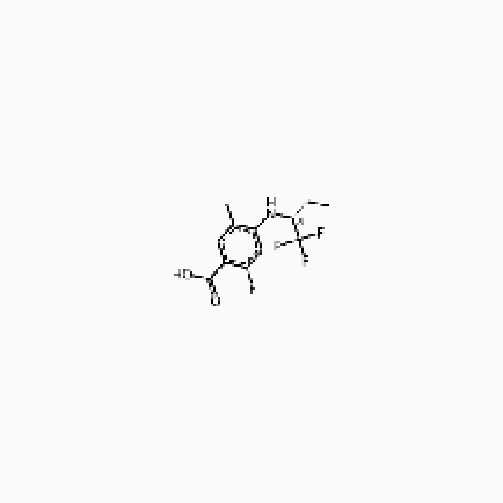 CC[C@@H](Nc1cc(F)c(C(=O)O)cc1C)C(F)(F)F